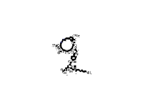 COc1cc2cc(c1Cl)N(C)C(=O)C[C@H](OC(=O)[C@H](C)N(C)C(=O)c1ccc(NC(=O)[C@H](CCCNC(N)=O)NC(=O)[C@@H](NC(=O)CCCCCN)C(C)C)cc1F)[C@]1(C)O[C@H]1[C@H](C)[C@@H]1C[C@@](O)(NC(=O)O1)[C@H](OC)/C=C/C=C(\C)C2